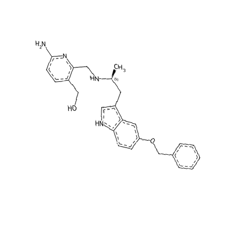 C[C@@H](Cc1c[nH]c2ccc(OCc3ccccc3)cc12)NCc1nc(N)ccc1CO